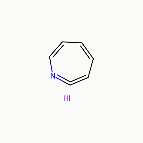 C1=CC=CC=CN=1.I